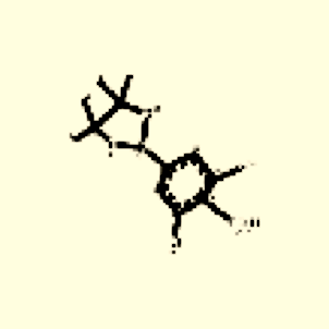 CCc1cc(B2OC(C)(C)C(C)(C)O2)cc(F)c1C(=O)O